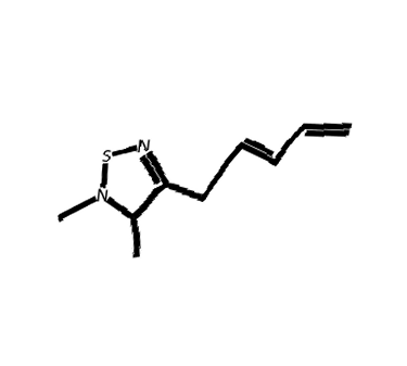 C=CC=CCC1=NSN(C)C1C